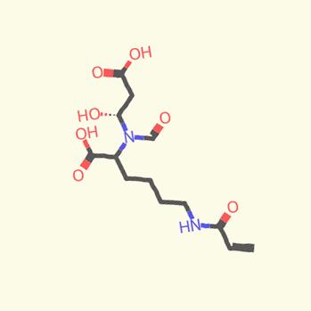 C=CC(=O)NCCCCC(C(=O)O)N(C=O)[C@H](O)CC(=O)O